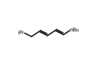 CCCCC=C/[C]=C/CC(C)C